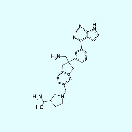 NCC1(c2cccc(-c3ncnc4[nH]ccc34)c2)Cc2ccc(CN3CC[C@H](C(N)O)C3)cc2C1